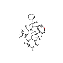 CN1C(=O)C23CC4(C56CC78SC(=S)S[C@@](C)(C(=O)N7[C@H]5N(S(=O)(=O)c5ccccc5)c5ccccc56)N(C)C8=O)c5ccccc5C[C@@H]4N2C(=O)[C@]1(C)SC(=S)S3